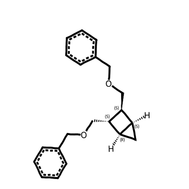 c1ccc(COC[C@@H]2[C@@H](COCc3ccccc3)[C@@H]3C[C@H]23)cc1